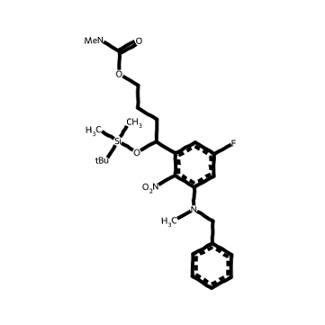 CNC(=O)OCCCC(O[Si](C)(C)C(C)(C)C)c1cc(F)cc(N(C)Cc2ccccc2)c1[N+](=O)[O-]